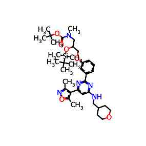 Cc1noc(C)c1-c1cc(NCC2CCOCC2)nc(-c2cccc(OCC(CN(C)C(=O)OC(C)(C)C)O[Si](C)(C)C(C)(C)C)c2)n1